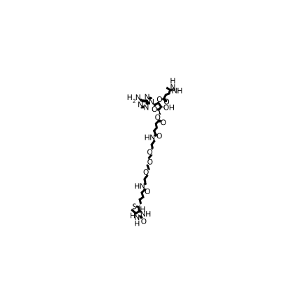 CC1(CCC(=O)O[C@@H]2[C@H](O)[C@@H](COC(=O)CCCC(=O)NCCCOCCOCCOCCCNC(=O)CCCC[C@H]3SC[C@H]4NC(=O)N[C@H]43)O[C@H]2n2cnc3c(N)ncnc32)NN1